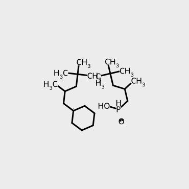 CC(C[C]1CCCCC1)CC(C)(C)C.CC(C[PH](=O)O)CC(C)(C)C